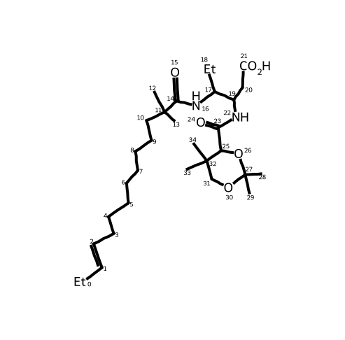 CC/C=C/CCCCCCCCC(C)(C)C(=O)NC(CC)C(CC(=O)O)NC(=O)C1OC(C)(C)OCC1(C)C